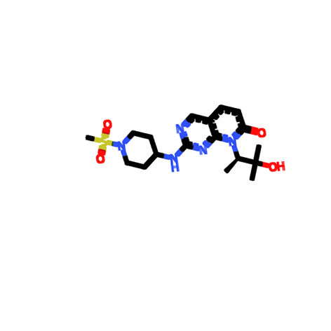 C[C@@H](n1c(=O)ccc2cnc(NC3CCN(S(C)(=O)=O)CC3)nc21)C(C)(C)O